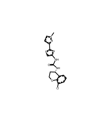 Cn1ccc(-c2nc(NC(=O)N[C@H]3CCOc4c(Cl)cccc43)cs2)n1